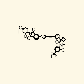 O=C1CCC(N2C(=O)c3ccc(N4CC(C#Cc5cnn(C6(C(=O)Nc7ccc(C(F)(F)F)cc7Cl)CCC6)c5)C4)cc3C2=O)C(=O)N1